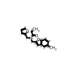 C=CC(=O)N(Cc1ccco1)Cc1cc2cc(C)ccc2o1